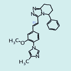 COc1cc(/C=C/c2nnc3n2C(c2ccccc2)CCC3)ccc1-n1cnc(C)c1